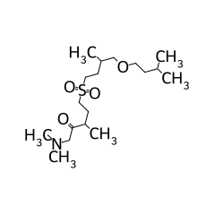 CC(C)CCOCC(C)CCS(=O)(=O)CCC(C)C(=O)CN(C)C